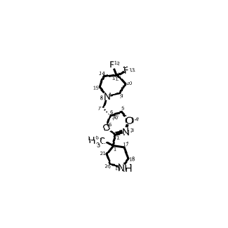 CC1(C2=NOC[C@@H](CN3CCC(F)(F)CC3)O2)CCNCC1